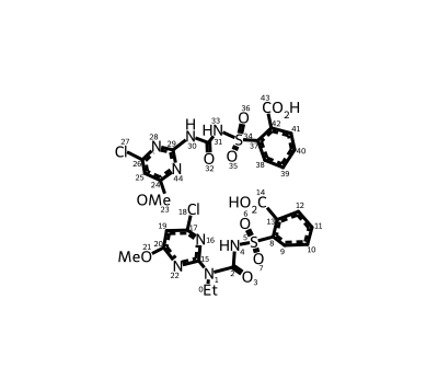 CCN(C(=O)NS(=O)(=O)c1ccccc1C(=O)O)c1nc(Cl)cc(OC)n1.COc1cc(Cl)nc(NC(=O)NS(=O)(=O)c2ccccc2C(=O)O)n1